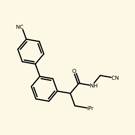 CC(C)CC(C(=O)NCC#N)c1cccc(-c2ccc(C#N)cc2)c1